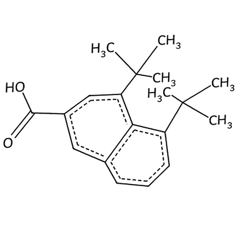 CC(C)(C)c1cccc2cc(C(=O)O)cc(C(C)(C)C)c12